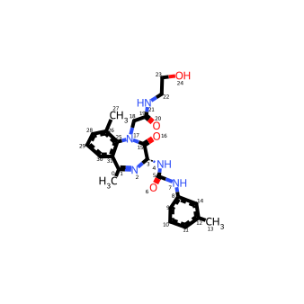 CC1=N[C@@H](NC(=O)Nc2cccc(C)c2)C(=O)N(CC(=O)NCCO)c2c(C)cccc21